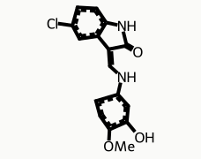 COc1ccc(NC=C2C(=O)Nc3ccc(Cl)cc32)cc1O